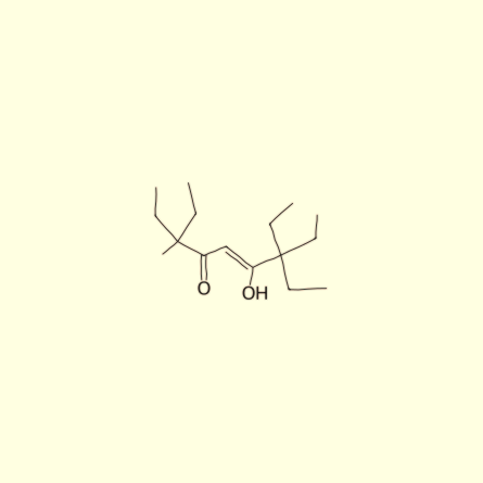 CCC(C)(CC)C(=O)/C=C(\O)C(CC)(CC)CC